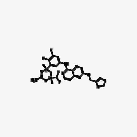 C[C@]1(C(F)F)C[C@@](C)(c2cc(Nc3nccc4nc(OCc5cscn5)cnc34)cc(F)c2F)N=C(N)S1